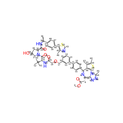 COC(=O)C[C@@H]1N=C(c2ccc(-c3cccc(COCC(=O)NC(C(=O)N4C[C@H](O)C[C@H]4C(=O)N[C@@H](C)c4ccc(-c5scnc5C)cc4)C(C)(C)C)c3)cc2)c2c(sc(C)c2C)-n2c(C)nnc21